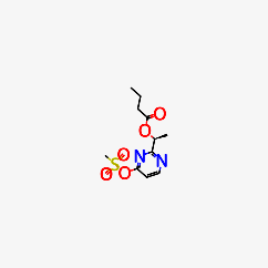 CCCC(=O)O[C@@H](C)c1nccc(OS(C)(=O)=O)n1